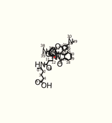 CC(CCCC(=O)O)NC(=O)CCN(N1C(=O)c2ccccc2C12c1ccc(N(C)C)cc1Oc1cc(N(C)C)ccc12)[SH](=O)=O